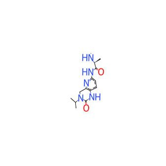 CN[C@@H](C)C(=O)Nc1ccc2c(n1)CN(C(C)C)C(=O)N2